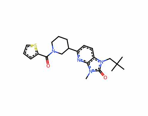 Cn1c(=O)n(CC(C)(C)C)c2ccc(C3CCCN(C(=O)c4cccs4)C3)nc21